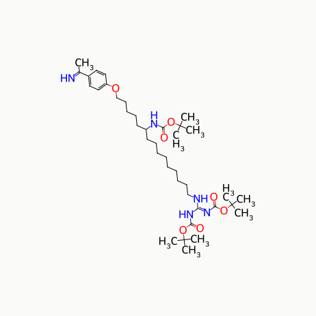 CC(=N)c1ccc(OCCCCCC(CCCCCCCCCN/C(=N\C(=O)OC(C)(C)C)NC(=O)OC(C)(C)C)NC(=O)OC(C)(C)C)cc1